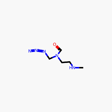 CNCCN(C=O)CN=[N+]=[N-]